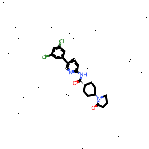 O=C1CCCN1[C@H]1CC[C@@H](C(=O)Nc2ccc(-c3cc(Cl)cc(Cl)c3)cn2)CC1